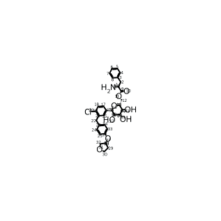 N[C@@H](Cc1ccccc1)C(=O)OC[C@H]1O[C@@H](c2ccc(Cl)c(Cc3ccc(O[C@H]4CCOC4)cc3)c2)[C@H](O)[C@@H](O)[C@@H]1O